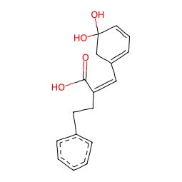 O=C(O)C(=CC1=CC=CC(O)(O)C1)CCc1ccccc1